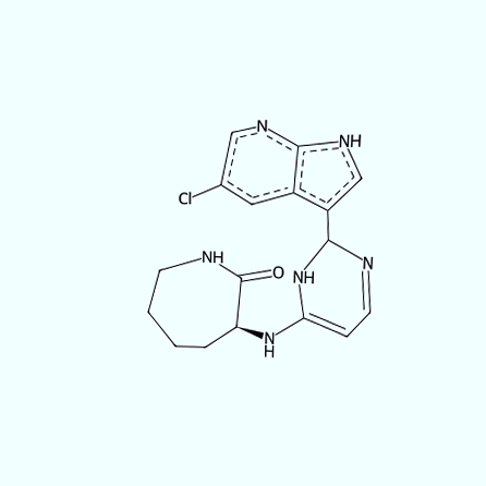 O=C1NCCCC[C@@H]1NC1=CC=NC(c2c[nH]c3ncc(Cl)cc23)N1